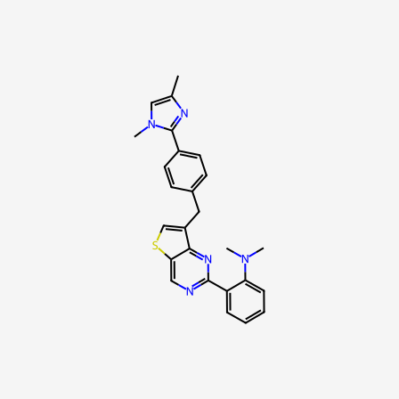 Cc1cn(C)c(-c2ccc(Cc3csc4cnc(-c5ccccc5N(C)C)nc34)cc2)n1